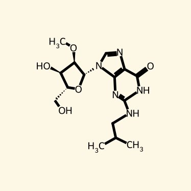 CO[C@@H]1[C@H](O)[C@@H](CO)O[C@H]1n1cnc2c(=O)[nH]c(NCC(C)C)nc21